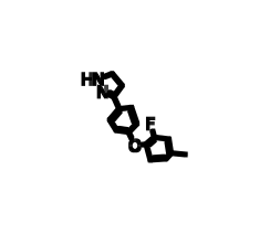 Cc1ccc(Oc2ccc(C3=NNCC3)cc2)c(F)c1